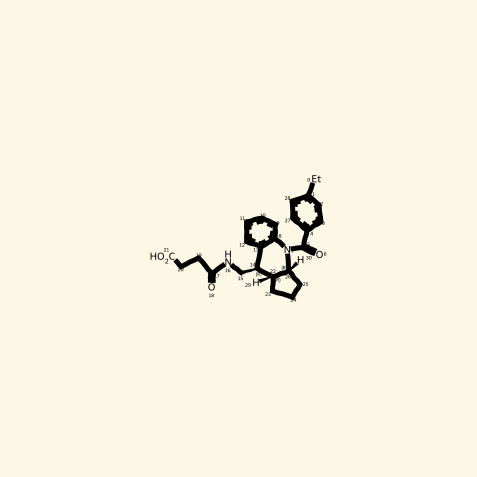 CCc1ccc(C(=O)N2c3ccccc3[C@H](CNC(=O)CCC(=O)O)[C@H]3CCC[C@H]32)cc1